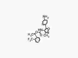 Cc1noc(-c2ccc(N)cn2)c1NC(=O)O[C@H](C)c1ccccc1C(F)(F)F